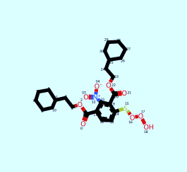 O=C(OCCC1CCCCC1)c1ccc(SOOO)c(C(=O)OCCC2CCCCC2)c1[N+](=O)[O-]